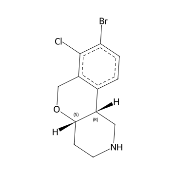 Clc1c(Br)ccc2c1CO[C@H]1CCNC[C@@H]21